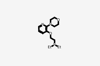 CCN(CC)CCOc1[c]ccnc1N1CCOCC1